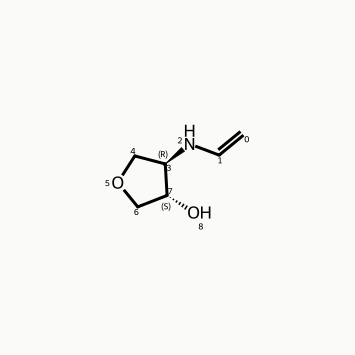 C=CN[C@@H]1COC[C@H]1O